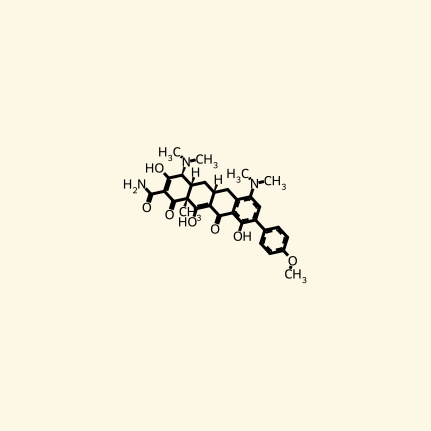 COc1ccc(-c2cc(N(C)C)c3c(c2O)C(=O)C2=C(O)[C@]4(C)C(=O)C(C(N)=O)=C(O)[C@@H](N(C)C)[C@@H]4C[C@@H]2C3)cc1